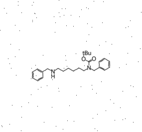 CC(C)(C)OC(=O)N(CCCCCCNCc1ccccc1)Cc1ccccc1